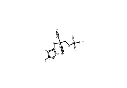 Cc1cnn(CC(C#N)(C#N)CCC(F)(F)F)c1